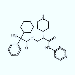 O=C(Nc1ccncn1)C(COC(=O)C(O)(c1ccccc1)C1CCCCC1)C1CCNCC1